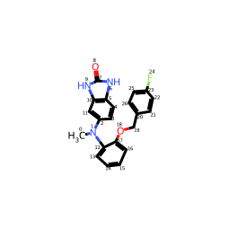 CN(c1ccc2[nH]c(=O)[nH]c2c1)c1ccccc1OCc1ccc(F)cc1